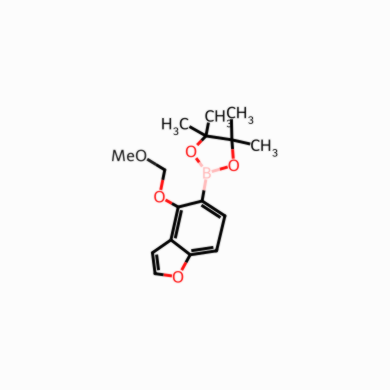 COCOc1c(B2OC(C)(C)C(C)(C)O2)ccc2occc12